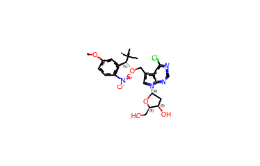 COc1ccc([N+](=O)[O-])c([C@@H](OCc2cn([C@H]3C[C@@H](O)[C@@H](CO)O3)c3ncnc(Cl)c23)C(C)(C)C)c1